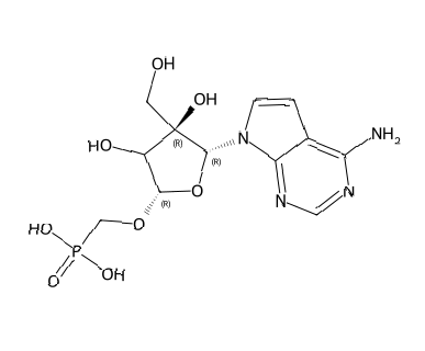 Nc1ncnc2c1ccn2[C@@H]1O[C@H](OCP(=O)(O)O)C(O)[C@]1(O)CO